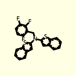 Fc1ccc(F)c(CN(c2cc3ccccc3s2)c2cc3ccccc3s2)c1F